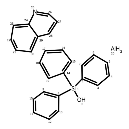 O[Si](c1ccccc1)(c1ccccc1)c1ccccc1.[AlH3].c1ccc2ncccc2c1